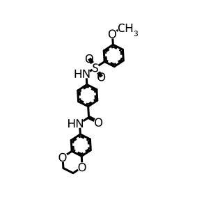 COc1cccc(S(=O)(=O)Nc2ccc(C(=O)Nc3ccc4c(c3)OCCO4)cc2)c1